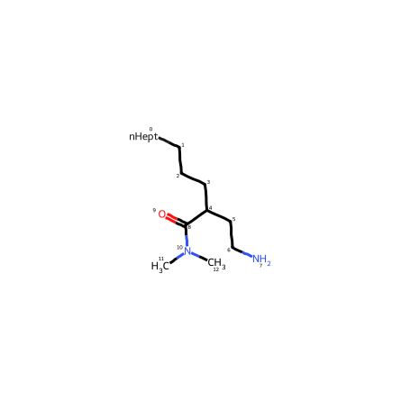 CCCCCCCCCCC(CCN)C(=O)N(C)C